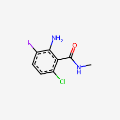 CNC(=O)c1c(Cl)ccc(I)c1N